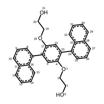 OCCOc1cc(-c2cccc3ccccc23)c(OCCO)cc1-c1cccc2ccccc12